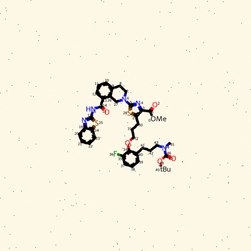 COC(=O)c1nc(N2CCc3cccc(C(=O)Nc4nc5ccccc5s4)c3C2)sc1CCCOc1c(F)cccc1CCCN(C)C(=O)OC(C)(C)C